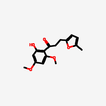 COc1cc(O)c(C(=O)CCc2ccc(C)o2)c(OC)c1